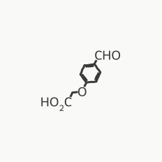 O=Cc1ccc(OCC(=O)O)cc1